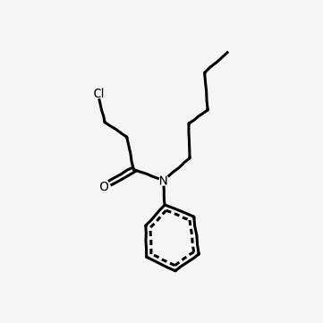 CCCCCN(C(=O)CCCl)c1ccccc1